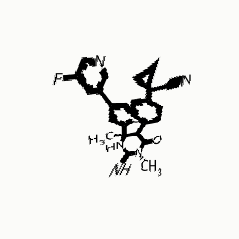 CN1C(=N)N[C@](C)(c2cc(-c3cncc(F)c3)cs2)C(c2ccc(C3(C#N)CC3)cc2)C1=O